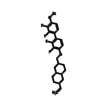 C=CC1CCC2CC(COc3ccc(-c4ccc(OCC)c(F)c4F)c(F)c3F)CCC2C1